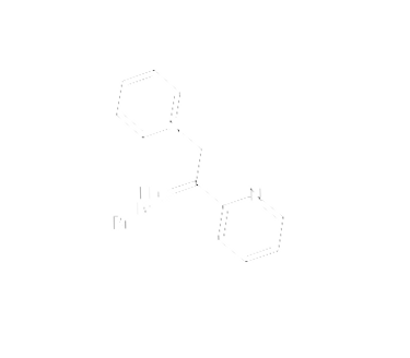 Br.O=C(C[n+]1ccccc1)c1ccccn1.[Br-]